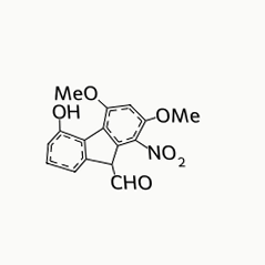 COc1cc(OC)c([N+](=O)[O-])c2c1-c1c(O)cccc1C2C=O